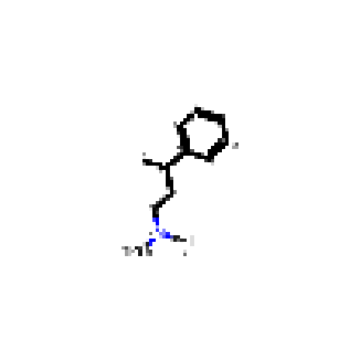 CCCN(CC)CCC(C)c1ccccc1